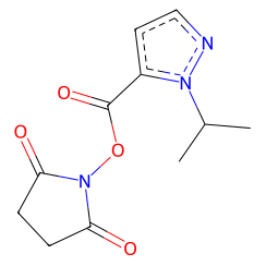 CC(C)n1nccc1C(=O)ON1C(=O)CCC1=O